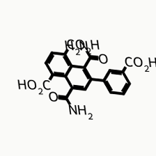 NC(=O)c1cc(-c2cccc(C(=O)O)c2)c(C(N)=O)c2c(C(=O)O)ccc(C(=O)O)c12